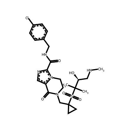 CNC[C@H](O)C(C)(C)S(=O)(=O)C1(CN2CCn3c(cnc3C(=O)NCc3ccc(Cl)cc3)C2=O)CC1